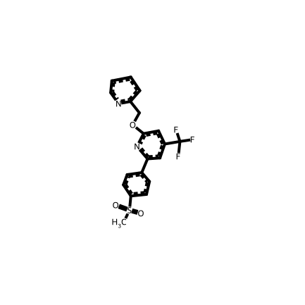 CS(=O)(=O)c1ccc(-c2cc(C(F)(F)F)cc(OCc3ccccn3)n2)cc1